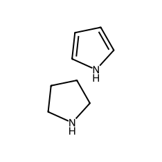 C1CCNC1.c1cc[nH]c1